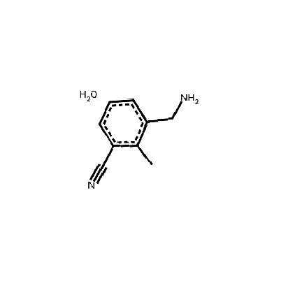 Cc1c(C#N)cccc1CN.O